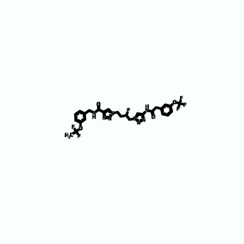 CC(F)(F)Oc1cccc(CNC(=O)c2cn(CCC(F)Cn3cc(NC(=O)Cc4cccc(OC(F)(F)F)c4)nn3)nn2)c1